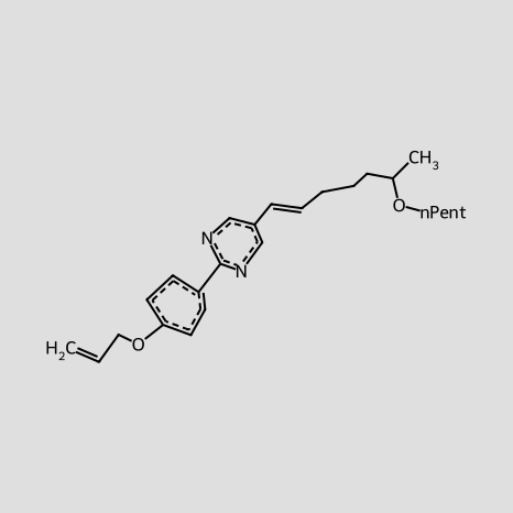 C=CCOc1ccc(-c2ncc(/C=C/CCCC(C)OCCCCC)cn2)cc1